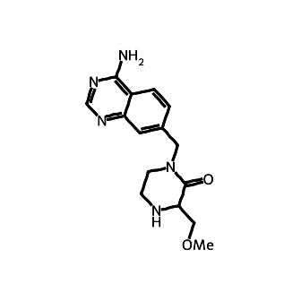 COCC1NCCN(Cc2ccc3c(N)ncnc3c2)C1=O